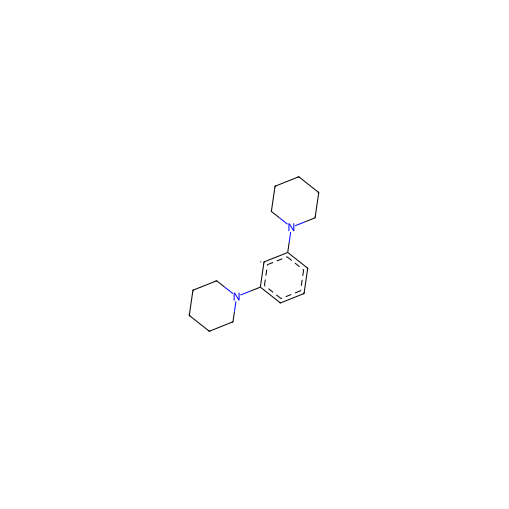 [c]1c(N2CCCCC2)cccc1N1CCCCC1